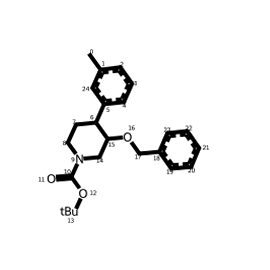 Cc1cccc(C2CCN(C(=O)OC(C)(C)C)CC2OCc2ccccc2)c1